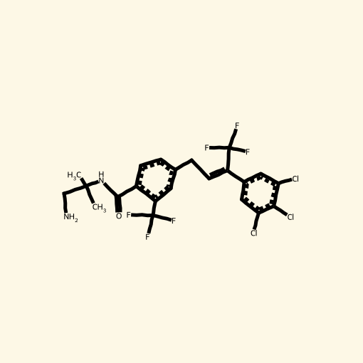 CC(C)(CN)NC(=O)c1ccc(CC=C(c2cc(Cl)c(Cl)c(Cl)c2)C(F)(F)F)cc1C(F)(F)F